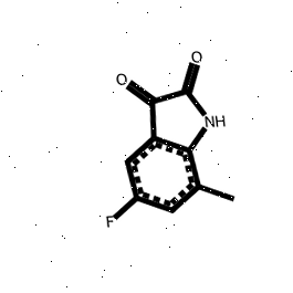 Cc1cc(F)cc2c1NC(=O)C2=O